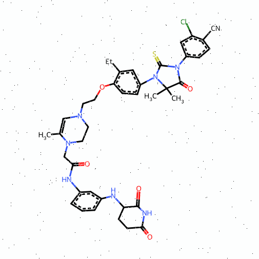 CCc1cc(N2C(=S)N(c3ccc(C#N)c(Cl)c3)C(=O)C2(C)C)ccc1OCCN1C=C(C)N(CC(=O)Nc2cccc(NC3CCC(=O)NC3=O)c2)CC1